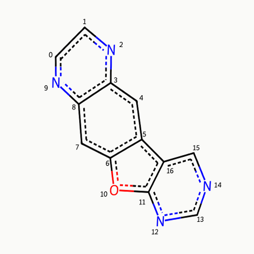 c1cnc2cc3c(cc2n1)oc1ncncc13